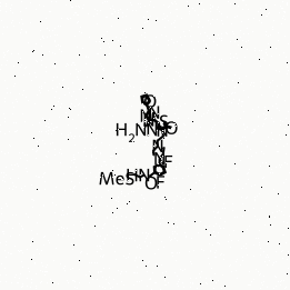 CSCCNC(=O)c1cc(N2CCN(CCn3c(=O)sc4c3nc(N)n3nc(-c5ccco5)nc43)CC2)c(F)cc1F